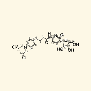 O=C(CCCc1ccc(N(CCCl)CCCl)cc1)Nc1ccn(C2OC(CO)C(O)C2O)c(=O)n1